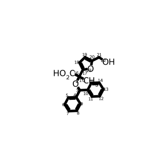 CC(OC(c1ccccc1)c1ccccc1)(C(=O)O)c1ccc(CO)o1